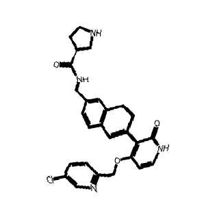 O=C(NCc1ccc2c(c1)CCC(c1c(OCc3ccc(Cl)cn3)cc[nH]c1=O)=C2)[C@H]1CCNC1